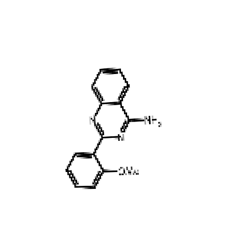 COc1ccccc1-c1nc(N)c2ccccc2n1